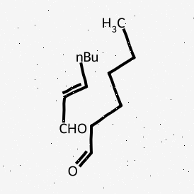 CCCC/C=C/C=O.CCCCCC=O